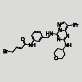 CC(C)c1cnn2c(NCc3cccc(NC(=O)C=CCBr)c3)nc(NC3CCOCC3)nc12